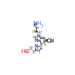 Cl.N#Cc1cc(-c2ccn(CCO)n2)c2ncn(C/C(F)=C/CN)c2c1